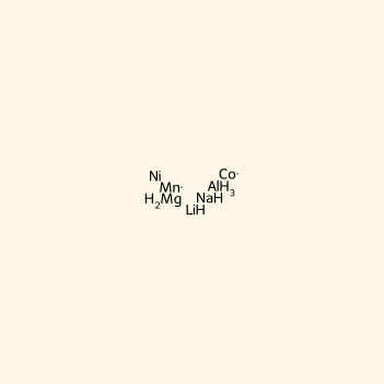 [AlH3].[Co].[LiH].[MgH2].[Mn].[NaH].[Ni]